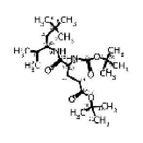 CC(C)[C@@H](CC(C)(C)C)NC(=O)[C@H](CCC(=O)OC(C)(C)C)NC(=O)OC(C)(C)C